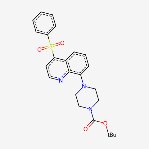 CC(C)(C)OC(=O)N1CCN(c2cccc3c(S(=O)(=O)c4ccccc4)ccnc23)CC1